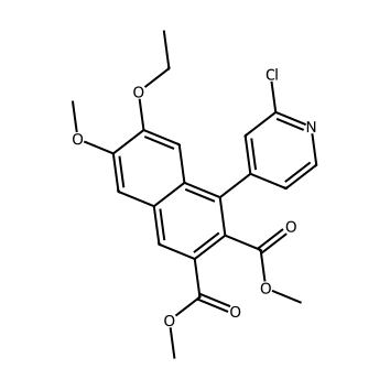 CCOc1cc2c(-c3ccnc(Cl)c3)c(C(=O)OC)c(C(=O)OC)cc2cc1OC